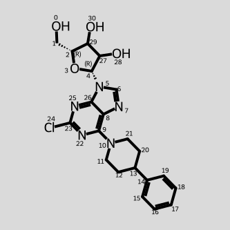 OC[C@H]1O[C@@H](n2cnc3c(N4CCC(c5ccccc5)CC4)nc(Cl)nc32)C(O)C1O